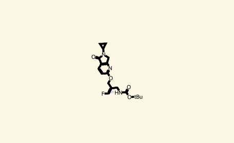 CC(C)(C)OC(=O)NC/C(=C/F)COc1ccc2c(n1)CN(C1CC1)C2=O